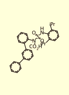 CC(C)c1cccc(C(C)C)c1NS(=O)(=O)N(C(=O)O)c1ccccc1-c1cccc(-c2ccccc2)c1